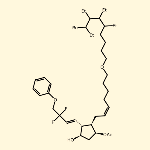 CCC(C)C(CC)C(CC)C(CC)C(CC)CCCCOCCCC/C=C\C[C@@H]1[C@@H](/C=C/C(F)(F)COc2ccccc2)[C@H](O)C[C@@H]1OC(C)=O